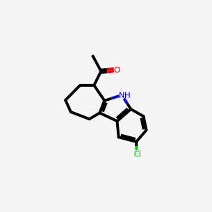 CC(=O)C1CCCCc2c1[nH]c1ccc(Cl)cc21